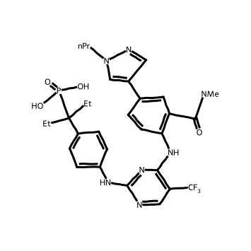 CCCn1cc(-c2ccc(Nc3nc(Nc4ccc(C(CC)(CC)P(=O)(O)O)cc4)ncc3C(F)(F)F)c(C(=O)NC)c2)cn1